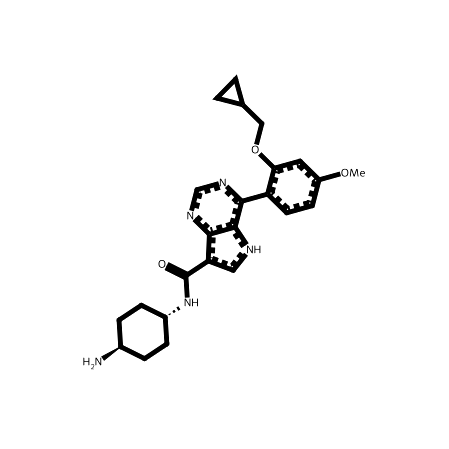 COc1ccc(-c2ncnc3c(C(=O)N[C@H]4CC[C@H](N)CC4)c[nH]c23)c(OCC2CC2)c1